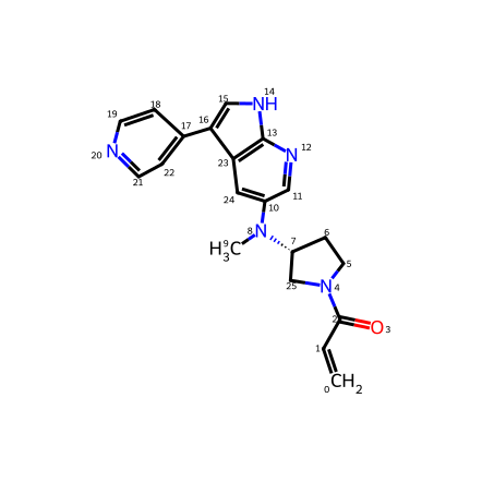 C=CC(=O)N1CC[C@@H](N(C)c2cnc3[nH]cc(-c4ccncc4)c3c2)C1